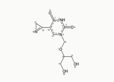 O=c1[nH]c(=O)n(COC(CO)CO)cc1C1=NC1